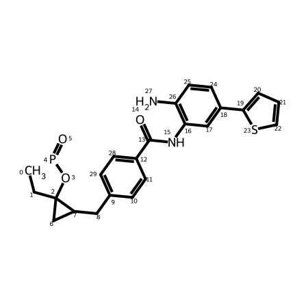 CCC1(OP=O)CC1Cc1ccc(C(=O)Nc2cc(-c3cccs3)ccc2N)cc1